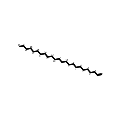 C=CCCCCCCCCCCCCCCCCCCCCCC